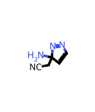 N#CCC1(N)C=CN=N1